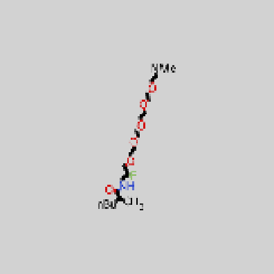 CCCCC(C)C(=O)NCC(F)COCCOCCOCCOCCOCCNC